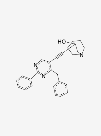 OC1(C#Cc2cnc(-c3ccccc3)nc2Cc2ccccc2)CN2CCC1CC2